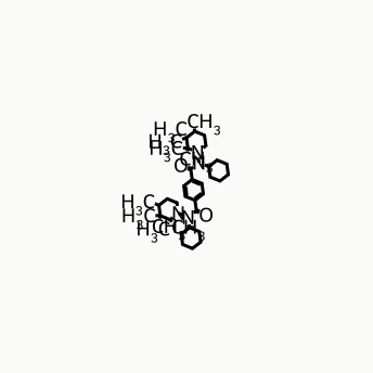 CC1CCN(N(C(=O)c2ccc(C(=O)N(C3CCCCC3)N3CCC(C)C(C)(C)C3(C)C)cc2)C2CCCCC2)C(C)(C)C1(C)C